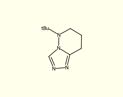 CC(C)(C)N1CCCc2nncn21